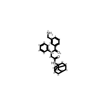 NCc1cccc(C(=O)N(CC(=O)NC23CC4CC(CC(C4)C2)C3)c2ccccc2)c1